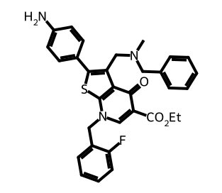 CCOC(=O)c1cn(Cc2ccccc2F)c2sc(-c3ccc(N)cc3)c(CN(C)Cc3ccccc3)c2c1=O